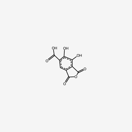 O=C(O)c1cc2c(c(O)c1O)C(=O)OC2=O